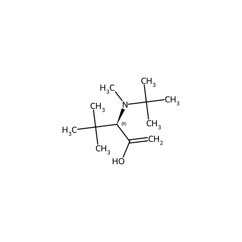 C=C(O)[C@H](N(C)C(C)(C)C)C(C)(C)C